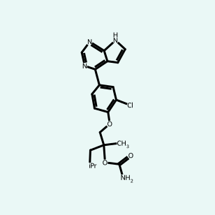 CC(C)CC(C)(COc1ccc(-c2ncnc3[nH]ccc23)cc1Cl)OC(N)=O